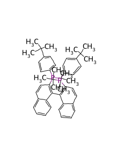 CC(C)(C)c1ccc(P(c2ccc3ccccc3c2-c2c(P(c3ccc(C(C)(C)C)cc3)C(C)(C)C)ccc3ccccc23)C(C)(C)C)cc1